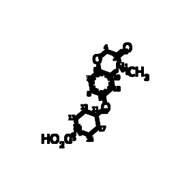 CN1C(=O)COc2ccc(OC3CCN(C(=O)O)CC3)cc21